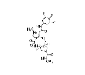 CNC(=O)N1C[C@@H]2COc3c(cn(C)c3C(=O)Nc3cc(F)c(F)c(F)c3)S(=O)(=O)N[C@@H]2C1